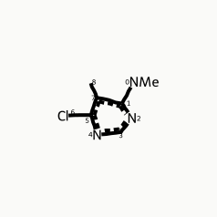 CNc1ncnc(Cl)c1C